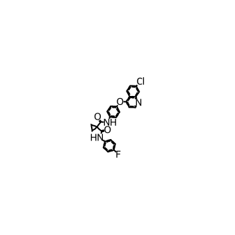 O=C(Nc1ccc(F)cc1)C1(C(=O)Nc2ccc(Oc3ccnc4cc(Cl)ccc34)cc2)CC1